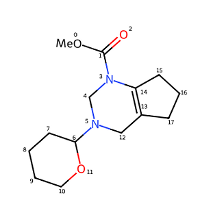 COC(=O)N1CN(C2CCCCO2)CC2=C1CCC2